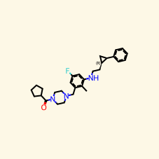 Cc1c(CN2CCN(C(=O)C3CCCC3)CC2)cc(F)cc1NCC[C@H]1CC1c1ccccc1